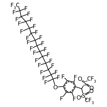 O=S(=O)(C(c1c(F)c(F)c(OC(F)(F)C(F)(F)C(F)(F)C(F)(F)C(F)(F)C(F)(F)C(F)(F)C(F)(F)C(F)(F)C(F)(F)C(F)(F)C(F)(F)C(F)(F)C(F)(F)F)c(F)c1F)S(=O)(=O)C(F)(F)F)C(F)(F)F